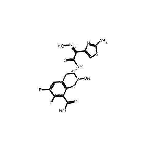 Nc1nc(/C(=N/O)C(=O)N[C@H]2Cc3cc(F)c(F)c(C(=O)O)c3OB2O)cs1